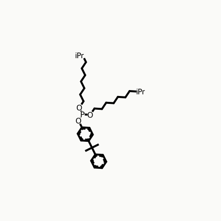 CC(C)CCCCCCCOP(OCCCCCCCC(C)C)Oc1ccc(C(C)(C)c2ccccc2)cc1